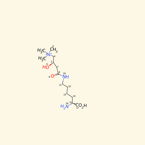 C[N+](C)(C)C[C@H](O)CC(=O)NCCCC[C@H](N)C(=O)O